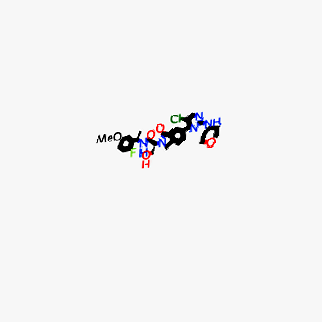 COc1ccc(F)c([C@@H](C)NC(=O)[C@@H](CO)N2Cc3ccc(-c4nc(NC5CCOCC5)ncc4Cl)cc3C2=O)c1